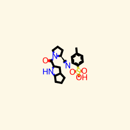 Cc1ccc(S(=O)(=O)O)cc1.N#C[C@@H]1CCCN1C(=O)C1CC2CCCC2N1